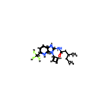 CCC(C)CC(=O)Nc1nc2ccc(C(F)(F)F)nc2n1C1=CC=C1